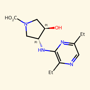 CCc1cnc(CC)c(N[C@@H]2CN(C(=O)O)C[C@H]2O)n1